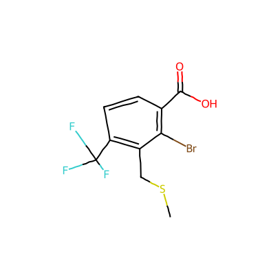 CSCc1c(C(F)(F)F)ccc(C(=O)O)c1Br